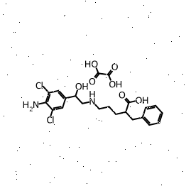 Nc1c(Cl)cc(C(O)CNCCCC(Cc2ccccc2)C(=O)O)cc1Cl.O=C(O)C(=O)O